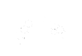 CC1(C)O[C@H]2[C@H](n3ccc4c(N)ncnc43)C[C@](C)(CCc3ccc4cc(Cl)c(NC(=O)O)nc4c3)[C@H]2O1